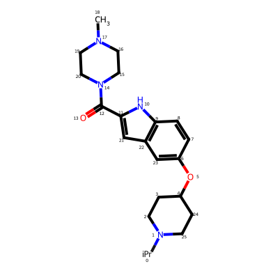 CC(C)N1CCC(Oc2ccc3[nH]c(C(=O)N4CCN(C)CC4)cc3c2)CC1